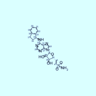 NS(=O)(=O)/C=C/[C@H]1O[C@@H](n2cnc3c(N[C@H]4CCc5ccccc54)ncnc32)[C@H](O)[C@@H]1O